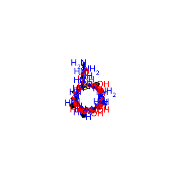 CCCC[C@H]1C(=O)N(C)[C@@H](CCCC)C(=O)N[C@@H](C)C(=O)N[C@H](C(=O)NCC(=O)NCC(=O)NCC(=O)N[C@@H](CCCCN)C(N)=O)CSCC(=O)N[C@@H](Cc2ccc(O)cc2)C(=O)N(C)[C@@H](C)C(=O)N[C@@H](CC(N)=O)C(=O)N2CCC[C@H]2C(=O)N[C@@H](Cc2cnc[nH]2)C(=O)N[C@@H](CC(=O)O)C(=O)N2C[C@H](O)C[C@H]2C(=O)N[C@@H](Cc2c[nH]c3ccccc23)C(=O)N[C@@H](CO)C(=O)N[C@@H](Cc2c[nH]c3ccccc23)C(=O)N1C